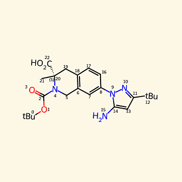 CC(C)(C)OC(=O)N1Cc2cc(-n3nc(C(C)(C)C)cc3N)ccc2C[C@@]1(C)C(=O)O